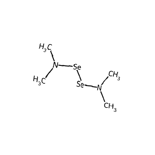 CN(C)[Se][Se]N(C)C